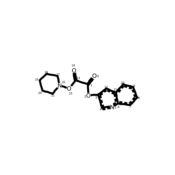 O=C(Oc1cnc2ccccc2c1)C(=O)ON1CCCCC1